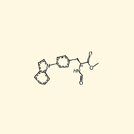 COC(=O)[C@H](Cc1ccc(-n2ccc3ccccc32)cc1)NC=O